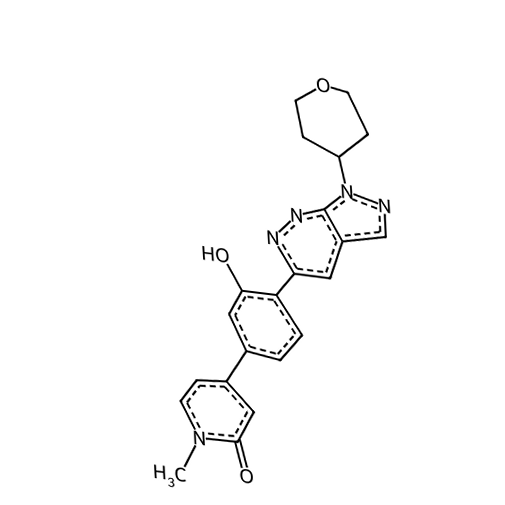 Cn1ccc(-c2ccc(-c3cc4cnn(C5CCOCC5)c4nn3)c(O)c2)cc1=O